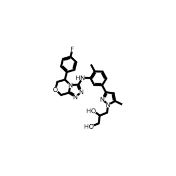 Cc1ccc(-c2cc(C)n(CC(O)CO)n2)cc1Nc1nnc2n1C(c1ccc(F)cc1)COC2